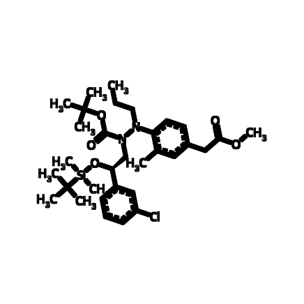 CCCN(c1ccc(CC(=O)OC)cc1C)N(C[C@H](O[Si](C)(C)C(C)(C)C)c1cccc(Cl)c1)C(=O)OC(C)(C)C